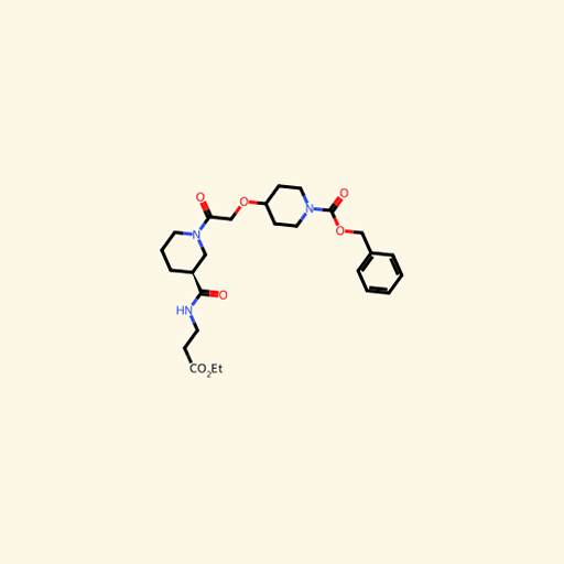 CCOC(=O)CCNC(=O)[C@H]1CCCN(C(=O)COC2CCN(C(=O)OCc3ccccc3)CC2)C1